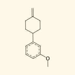 C=C1CCC(c2cccc(OC)c2)CC1